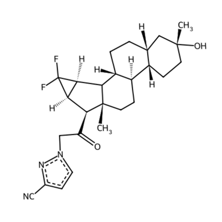 C[C@@]1(O)CC[C@H]2[C@H](CC[C@H]3C4[C@H]5[C@@H]([C@H](C(=O)Cn6ccc(C#N)n6)[C@@]4(C)CC[C@H]23)C5(F)F)C1